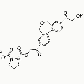 CC(C)(C)OC(=O)N1CCC[C@H]1C(=O)OCC(=O)c1ccc2c(c1)COCc1cc(C(=O)CO)ccc1-2